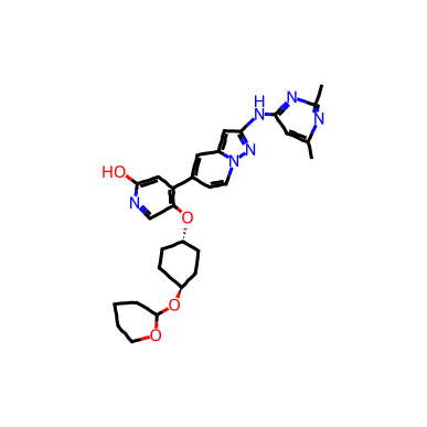 Cc1cc(Nc2cc3cc(-c4cc(O)ncc4O[C@H]4CC[C@H](OC5CCCCO5)CC4)ccn3n2)nc(C)n1